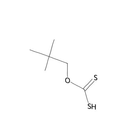 CC(C)(C)COC(=S)S